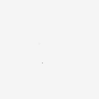 CCC(C)C1NC(=O)CNC1=O